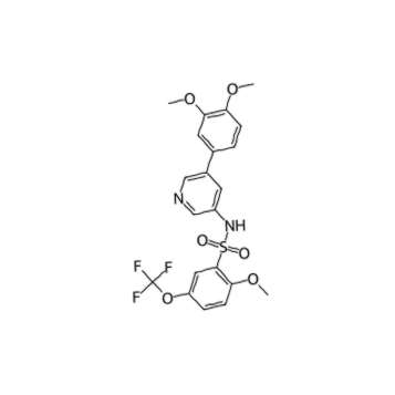 COc1ccc(-c2cncc(NS(=O)(=O)c3cc(OC(F)(F)F)ccc3OC)c2)cc1OC